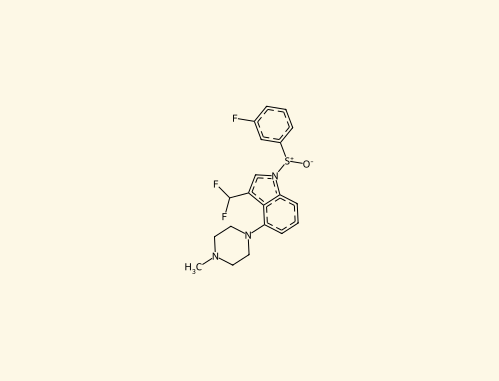 CN1CCN(c2cccc3c2c(C(F)F)cn3[S+]([O-])c2cccc(F)c2)CC1